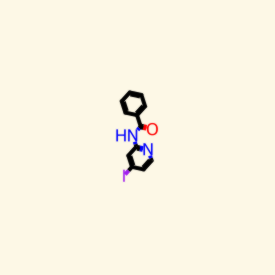 O=C(Nc1cc(I)ccn1)c1ccccc1